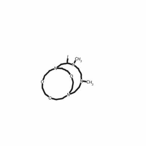 CN1CCN2CCOCCOCCN(CCOCC2)CC(I)N(C)CC1